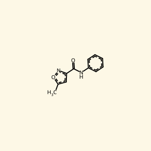 Cc1cc(C(=O)Nc2ccccc2)no1